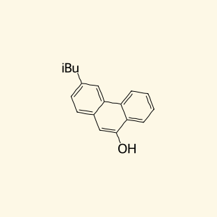 CCC(C)c1ccc2cc(O)c3ccccc3c2c1